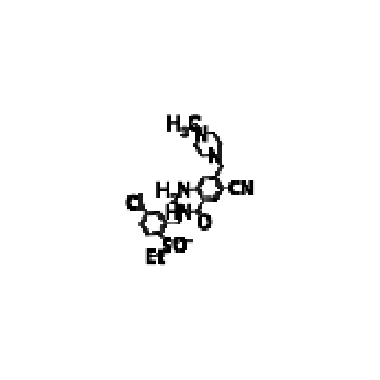 CC[S+]([O-])c1ccc(Cl)cc1CNC(=O)c1cc(C#N)c(CN2CCN(C)CC2)cc1N